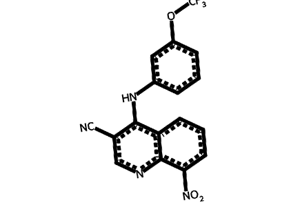 N#Cc1cnc2c([N+](=O)[O-])cccc2c1Nc1cccc(OC(F)(F)F)c1